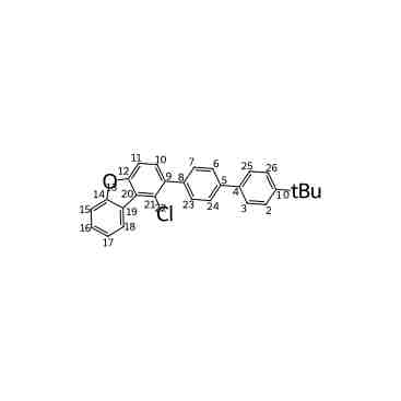 CC(C)(C)c1ccc(-c2ccc(-c3ccc4oc5ccccc5c4c3Cl)cc2)cc1